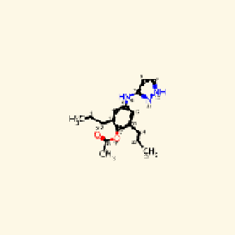 CCCc1cc(Nc2cc[nH]n2)cc(CCC)c1OC(C)=O